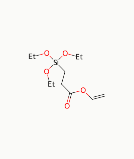 C=COC(=O)CC[Si](OCC)(OCC)OCC